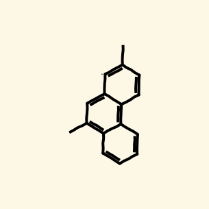 Cc1[c]c2cc(C)c3ccccc3c2cc1